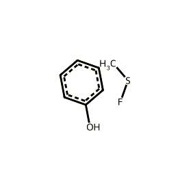 CSF.Oc1ccccc1